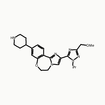 COCc1nc(-c2cn3c(n2)-c2ccc(C4CCNCC4)cc2OCC3)n(C(C)C)n1